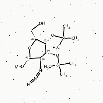 CO[C@@H]1O[C@H](CO)[C@H](O[Si](C)(C)C)[C@H](O[Si](C)(C)C)[C@H]1N=[N+]=[N-]